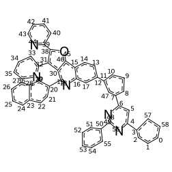 c1ccc(-c2cc(-c3cccc(-c4ccc5c(c4)nc(-c4ccc6ccccc6c4)c4c(-c6ccccn6)c(-c6ccccn6)oc45)c3)nc(-c3ccccc3)n2)cc1